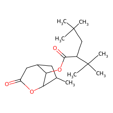 CC1CC2CC(=O)OC1C2OC(=O)C(CC(C)(C)C)C(C)(C)C